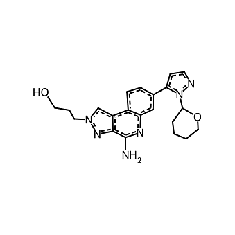 Nc1nc2cc(-c3ccnn3C3CCCCO3)ccc2c2cn(CCCO)nc12